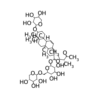 CC(=O)[C@H](C)CC[C@@]1(C(=O)O[C@@H]2O[C@H](CO[C@@H]3OC[C@@H](O)[C@H](O)[C@H]3O)[C@@H](O)[C@H](O)[C@H]2O)C=C2C=C[C@@H]3[C@@]4(C)CC[C@H](O[C@@H]5OC[C@H](O)[C@H](O)[C@H]5O)C(C)(C)[C@@H]4CC[C@@]3(C)[C@]2(C)CC1